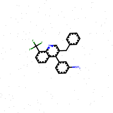 Nc1cccc(-c2c(Cc3ccccc3)cnc3c(C(F)(F)F)cccc23)c1